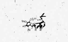 CC(C)=CCNc1ncnc2nc(S[C@@H]3O[C@H](C(=O)O)[C@@H](O)[C@H](O)[C@H]3O)[nH]c12